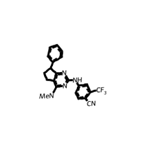 CNc1nc(Nc2ccc(C#N)c(C(F)(F)F)c2)nc2c1CCC2c1ccccc1